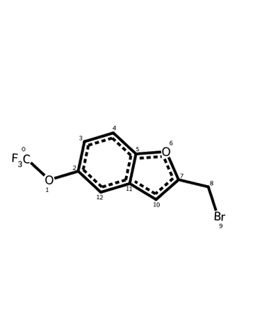 FC(F)(F)Oc1ccc2oc(CBr)cc2c1